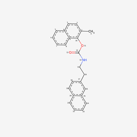 Cc1ccc2ccccc2c1OC(=O)NCCc1ccc2ccccc2c1